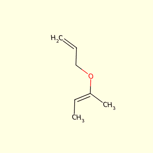 C=CCOC(C)=CC